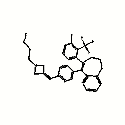 Cc1cccc(C2=C(c3ccc(C=C4CN(CCCF)C4)cc3)c3ccccc3CCC2)c1C(F)(F)F